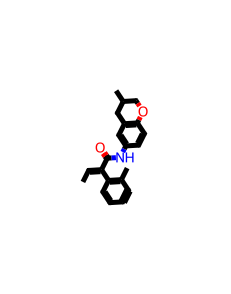 C/C=C(/C(=O)Nc1ccc2c(c1)CC(C)CO2)c1ccc#cc1C